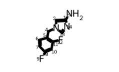 Nc1cn(Cc2ccc(F)cc2F)cn1